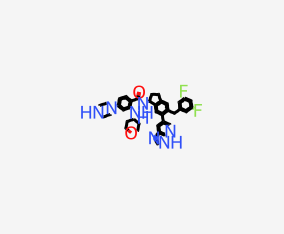 O=C(NC1CCc2cc(Cc3cc(F)cc(F)c3)c(-c3cnc4[nH]cnc4c3)cc21)c1ccc(N2CCNCC2)cc1NC1CCOCC1